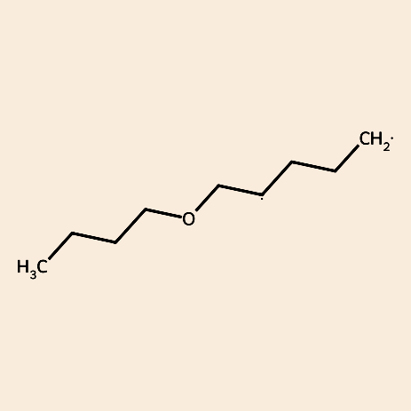 [CH2]CC[CH]COCCCC